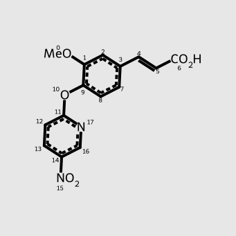 COc1cc(C=CC(=O)O)ccc1Oc1ccc([N+](=O)[O-])cn1